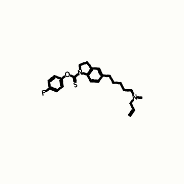 C=CCN(C)CCCCCc1ccc2c(c1)CCN2C(=S)Oc1ccc(F)cc1